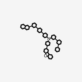 c1ccc(-c2cccc(-c3cccc(N(c4ccc(-c5ccc(-c6cccc(-c7ccc8ccccc8c7)c6)cc5)cc4)c4ccc(-c5ccc6oc7ccccc7c6c5)cc4)c3)c2)cc1